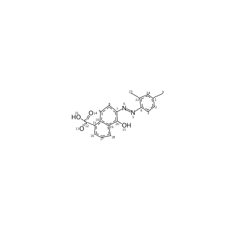 Cc1ccc(N=Nc2ccc3c(S(=O)(=O)O)cccc3c2O)c(C)c1